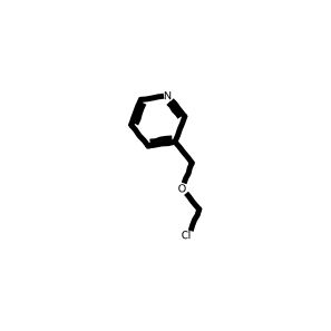 ClCOCc1cccnc1